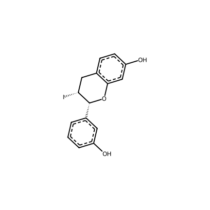 Oc1cccc([C@H]2Oc3cc(O)ccc3C[C@H]2I)c1